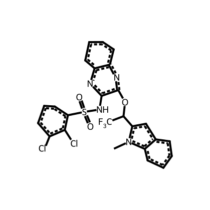 Cn1c(C(Oc2nc3ccccc3nc2NS(=O)(=O)c2cccc(Cl)c2Cl)C(F)(F)F)cc2ccccc21